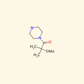 COC(C)(C)C(=O)N1CC[N]CC1